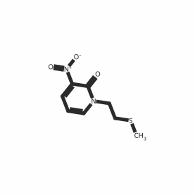 CSCCn1cccc([N+](=O)[O-])c1=O